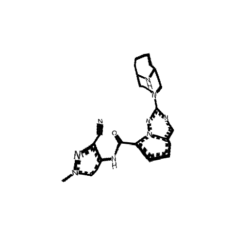 Cn1cc(NC(=O)c2ccc3cnc(N4CC5CCC(C4)N5)nn23)c(C#N)n1